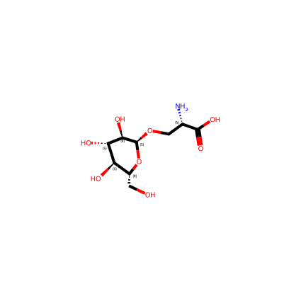 N[C@@H](CO[C@H]1O[C@H](CO)[C@@H](O)[C@H](O)[C@H]1O)C(=O)O